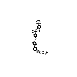 O=C(O)NCc1cccc(-c2ccc(OCc3ccc(C(=O)NCc4cccc(C5OCCO5)c4)cc3)cc2)c1